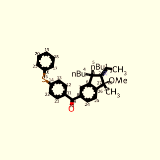 C/C=C1/C(CCCC)(CCCC)c2cc(C(=O)c3ccc(Sc4ccccc4)cc3)ccc2[C@]1(C)OC